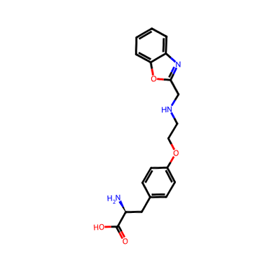 N[C@@H](Cc1ccc(OCCNCc2nc3ccccc3o2)cc1)C(=O)O